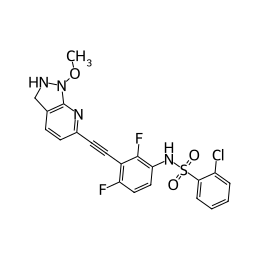 CON1NCc2ccc(C#Cc3c(F)ccc(NS(=O)(=O)c4ccccc4Cl)c3F)nc21